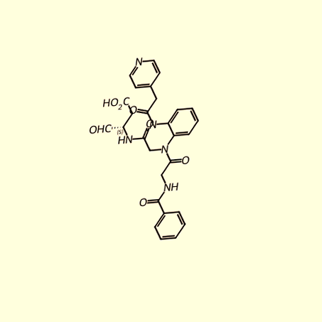 CN(C(=O)Cc1ccncc1)c1ccccc1N(CC(=O)N[C@H](C=O)CC(=O)O)C(=O)CNC(=O)c1ccccc1